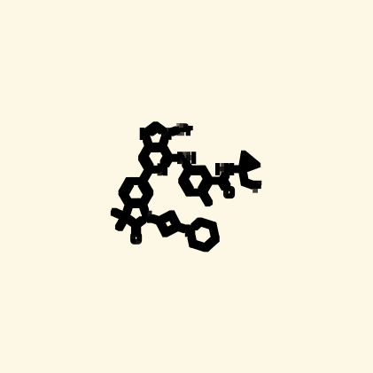 Cc1ccc(Nc2nc(-c3ccc4c(c3)N(C3CC(N5CCCCC5)C3)C(=O)C4(C)C)cc3ncn(C(C)C)c23)cc1C(=O)NC1(CF)CC1